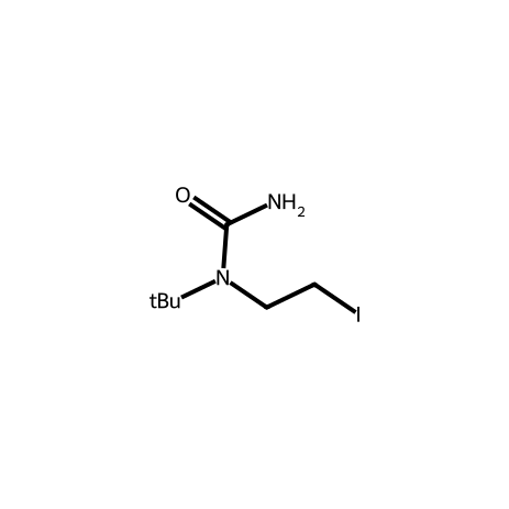 CC(C)(C)N(CCI)C(N)=O